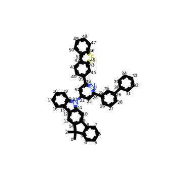 CC1(C)c2ccccc2-c2cc3c(cc21)c1ccccc1n3-c1cc(-c2cccc(-c3ccccc3)c2)nc(-c2ccc3c(c2)sc2ccccc23)c1